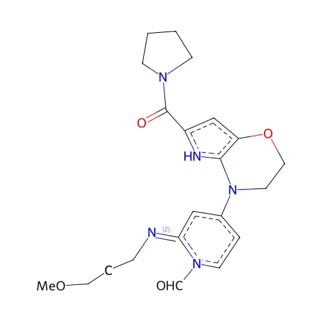 COCCC/N=c1/cc(N2CCOc3cc(C(=O)N4CCCC4)[nH]c32)ccn1C=O